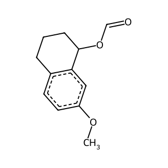 COc1ccc2c(c1)C(OC=O)CCC2